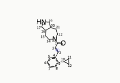 O=C(/C=C/c1ccccc1C1CC1)N1CCC2CNCC2CC1